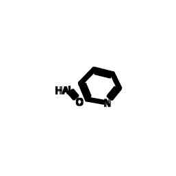 [O]=[AlH].c1ccncc1